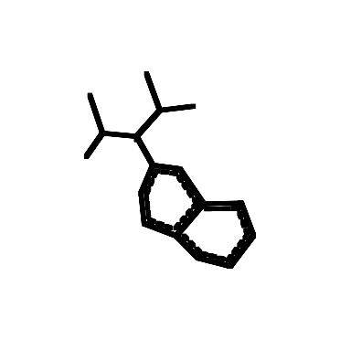 CC(C)[C](c1ccc2ccccc2c1)C(C)C